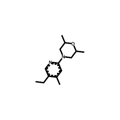 CCc1cnc(N2CC(C)OC(C)C2)cc1C